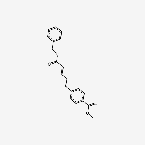 COC(=O)c1ccc(CCC=CC(=O)OCc2ccccc2)cc1